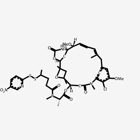 COc1cc2cc(c1Cl)N(C)C(=O)C[C@H](OC(=O)[C@H](C)N(C)C(=O)CCC(C)SSc1ccc([N+](=O)[O-])cn1)[C@@]1(C)CC(C)(O1)[C@@H]1C[C@@](O)(NC(=O)O1)[C@H](OC)/C=C/C=C(\C)C2